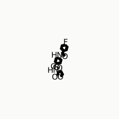 O=C(Nc1ccc(S(=O)(=O)NC2CCOC2=O)cc1)c1ccc(F)cc1